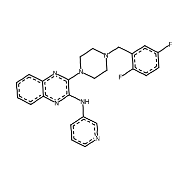 Fc1ccc(F)c(CN2CCN(c3nc4ccccc4nc3Nc3cccnc3)CC2)c1